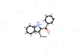 [CH2]Cc1c(C(=O)c2ccccc2)[nH]c2ccccc12